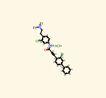 CCN(CC)CCc1ccc(NC(=O)C#Cc2ccc(-c3ccccc3)cc2Br)cc1Cl.Cl